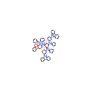 c1ccc(N2c3cc(-n4c5ccccc5c5ccccc54)ccc3B3c4cccc5c4N4c6c3c2cc2c6B(c3ccc(-n6c7ccccc7c7ccccc76)cc3N2c2ccccc2)c2cc3c(oc6ccccc63)c(c24)N5c2ccccc2)cc1